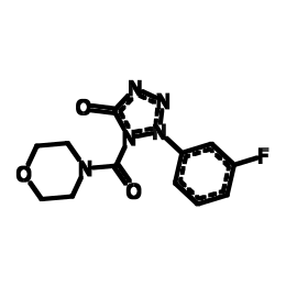 O=C(N1CCOCC1)n1c(=O)nnn1-c1cccc(F)c1